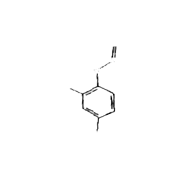 C=NNc1ccc(F)cc1F